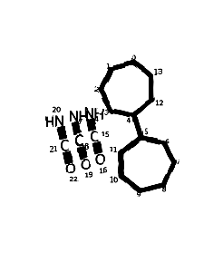 C1CCCC(C2CCCCCC2)CC1.N=C=O.N=C=O.N=C=O